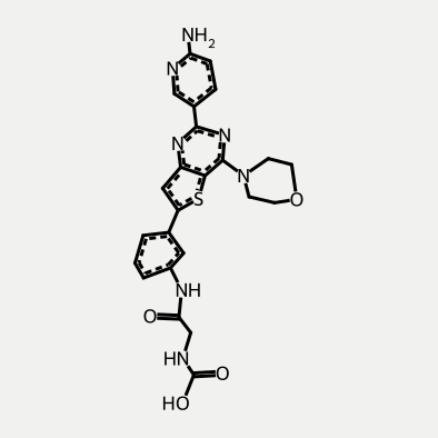 Nc1ccc(-c2nc(N3CCOCC3)c3sc(-c4cccc(NC(=O)CNC(=O)O)c4)cc3n2)cn1